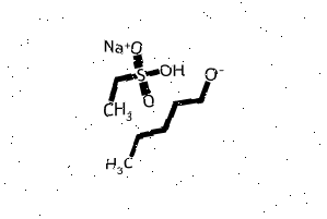 CCCCC[O-].CCS(=O)(=O)O.[Na+]